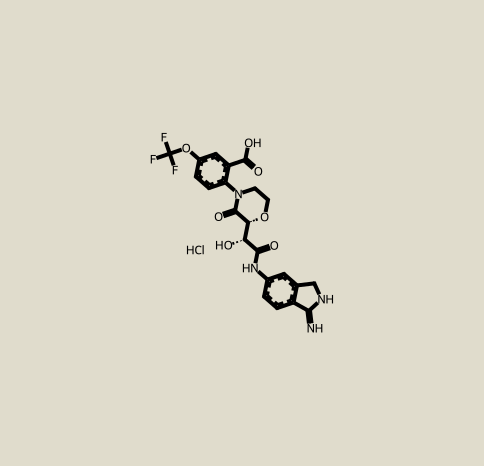 Cl.N=C1NCc2cc(NC(=O)[C@H](O)[C@H]3OCCN(c4ccc(OC(F)(F)F)cc4C(=O)O)C3=O)ccc21